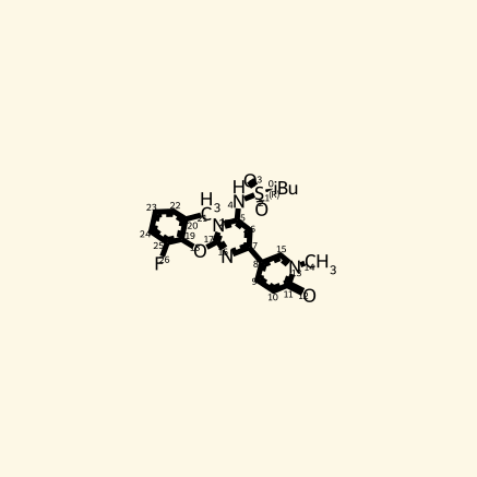 CC[C@@H](C)S(=O)(=O)Nc1cc(-c2ccc(=O)n(C)c2)nc(Oc2c(C)cccc2F)n1